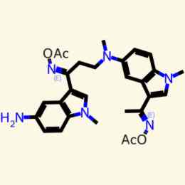 CC(=O)O/N=C(\C)c1cn(C)c2ccc(N(C)CC/C(=N\OC(C)=O)c3cn(C)c4ccc(N)cc34)cc12